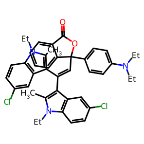 CCN(CC)c1ccc(C2(C=C(c3c(C)n(CC)c4ccc(Cl)cc34)c3c(C)n(CC)c4ccc(Cl)cc34)OC(=O)c3ccccc32)cc1